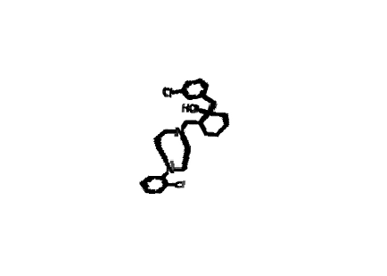 OC1(Cc2cccc(Cl)c2)CCCCC1CN1CCN(c2ccccc2Cl)CC1